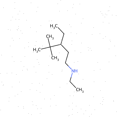 CCNCCC(CC)C(C)(C)C